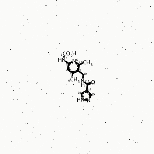 Cc1cc(NC(=O)O)nc(C)c1CNC(=O)c1cn[nH]c1